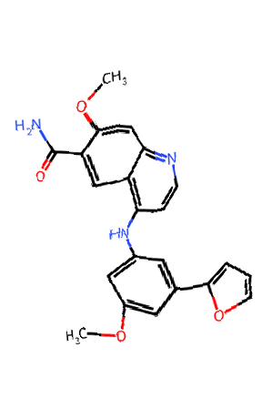 COc1cc(Nc2ccnc3cc(OC)c(C(N)=O)cc23)cc(-c2ccco2)c1